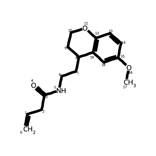 C=CCC(=O)NCCC1CCOc2ccc(OC)cc21